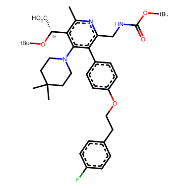 Cc1nc(CNC(=O)OC(C)(C)C)c(-c2ccc(OCCc3ccc(F)cc3)cc2)c(N2CCC(C)(C)CC2)c1[C@H](OC(C)(C)C)C(=O)O